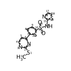 CSc1nccc(-c2ccc(S(=O)(=O)Nc3nc[c]s3)s2)n1